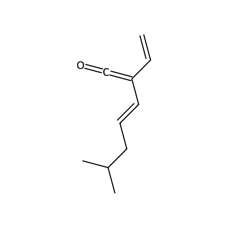 C=CC(=C=O)C=CCC(C)C